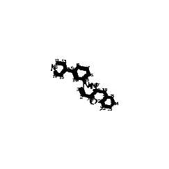 O=c1ccn(-c2cccc(-c3ccncc3)c2)nc1Cc1c[c]ccc1